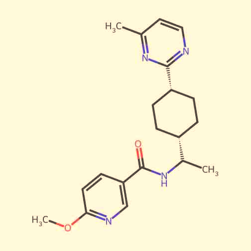 COc1ccc(C(=O)NC(C)[C@H]2CC[C@@H](c3nccc(C)n3)CC2)cn1